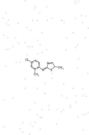 Cc1cc(Cl)ccc1N=C1N=CC(C)S1